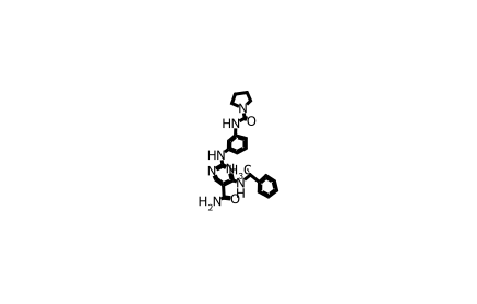 C[C@@H](Nc1nc(Nc2cccc(NC(=O)N3CCCC3)c2)ncc1C(N)=O)c1ccccc1